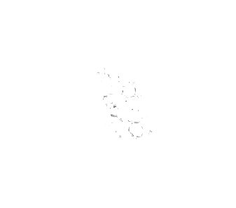 COc1ncnc(OC)c1-n1c(NS(=O)(=O)C(C)C(C)c2ncc(Cl)cn2)nnc1[C@H]1COC(C)(C)C1